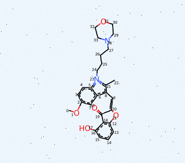 COc1ccc2c(c1)c(C=C1Oc3cccc(O)c3C1=O)c(C)n2CCCCN1CCOCC1